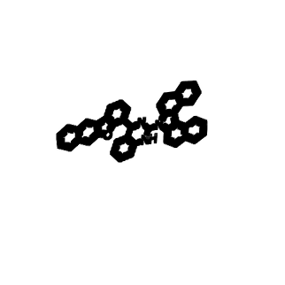 c1ccc2c(c1)NC(n1c3ccc4ccccc4c3c3c4ccccc4ccc31)N=C2c1cccc2c1oc1cc3ccccc3cc12